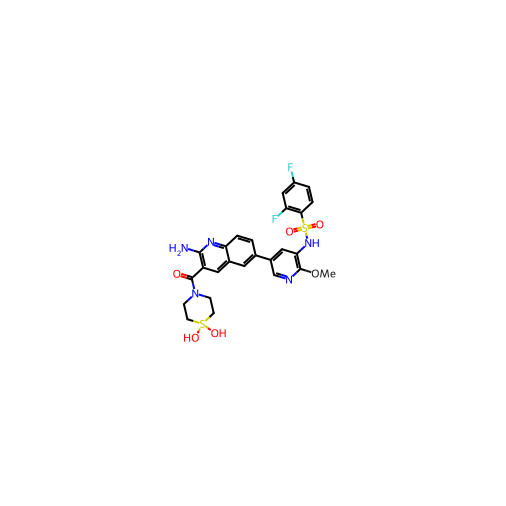 COc1ncc(-c2ccc3nc(N)c(C(=O)N4CCS(O)(O)CC4)cc3c2)cc1NS(=O)(=O)c1ccc(F)cc1F